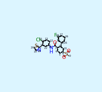 CS(=O)(=O)c1ccc(C(=O)Nc2ccc(Cl)c(-c3nccs3)c2)c(-c2cccc(F)c2)c1